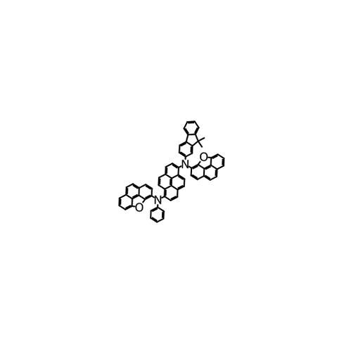 CC1(C)c2ccccc2-c2ccc(N(c3ccc4ccc5c(N(c6ccccc6)c6ccc7ccc8cccc9oc6c7c89)ccc6ccc3c4c65)c3ccc4ccc5cccc6oc3c4c56)cc21